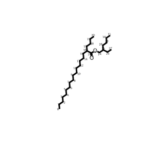 CCCCCCCCCCCCCCCCC(CCCC)C(=O)OCC(CC)CCCC